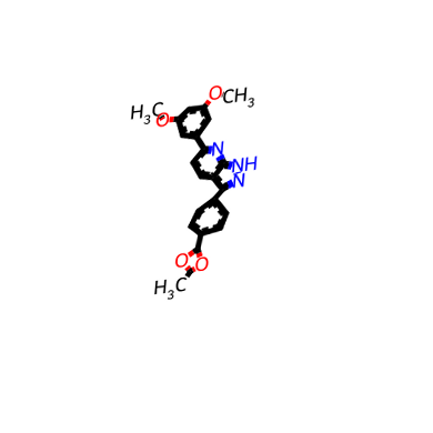 COc1cc(OC)cc(-c2ccc3c(-c4ccc(C5OC(C)O5)cc4)n[nH]c3n2)c1